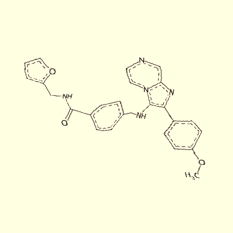 COc1ccc(-c2nc3cnccn3c2Nc2ccc(C(=O)NCc3ccco3)cc2)cc1